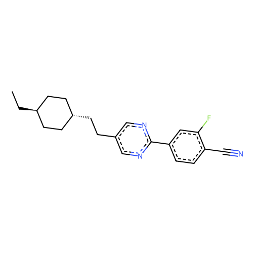 CC[C@H]1CC[C@H](CCc2cnc(-c3ccc(C#N)c(F)c3)nc2)CC1